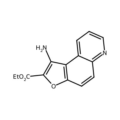 CCOC(=O)c1oc2ccc3ncccc3c2c1N